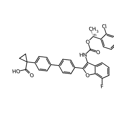 C[C@@H](OC(=O)Nc1c(-c2ccc(-c3ccc(C4(C(=O)O)CC4)cc3)cc2)oc2c(F)cccc12)c1ccccc1Cl